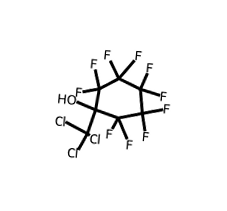 OC1(C(Cl)(Cl)Cl)C(F)(F)C(F)(F)C(F)(F)C(F)(F)C1(F)F